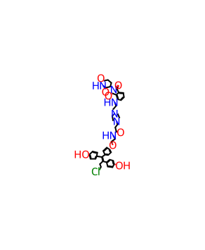 O=C(CCN1CCN(CCNc2cccc3c2C(=O)N(C2CCC(=O)NC2=O)C3=O)CC1)NCCOc1ccc(C(=C(CCCl)c2ccc(O)cc2)c2ccc(O)cc2)cc1